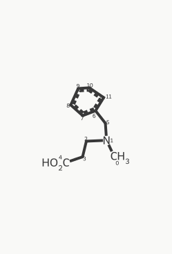 CN(CCC(=O)O)Cc1ccccc1